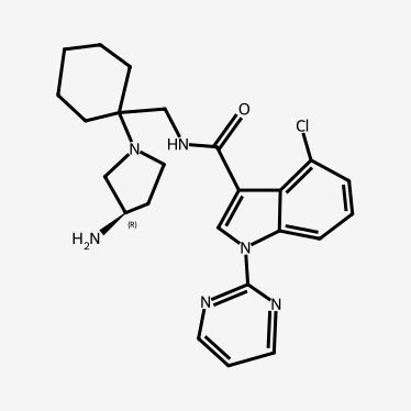 N[C@@H]1CCN(C2(CNC(=O)c3cn(-c4ncccn4)c4cccc(Cl)c34)CCCCC2)C1